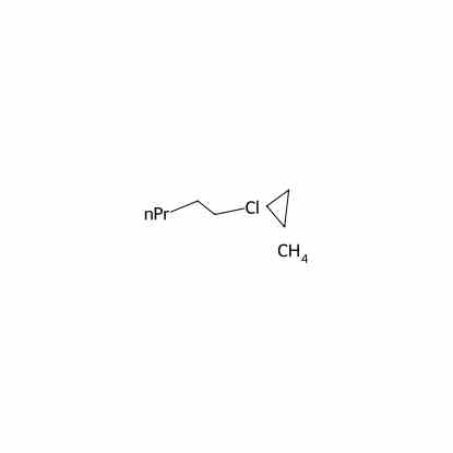 C.C1CC1.CCCCCCl